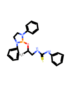 CC(CNC(=S)Nc1ccccc1)OP1N(c2ccccc2)CCN1c1ccccc1